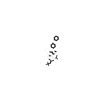 CC(Cn1c(=O)n(-c2ccc(Oc3ccccc3)cc2)c2c(N)ncnc21)NC(=O)C(C#N)=CC(C)(C)CO